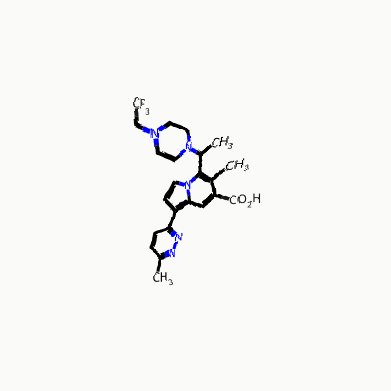 Cc1ccc(-c2ccn3c(C(C)N4CCN(CC(F)(F)F)CC4)c(C)c(C(=O)O)cc23)nn1